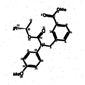 COC(=O)c1cccc(CN(C(=O)O[C@@H](C)C(C)C)c2ccc(OC)cc2)c1